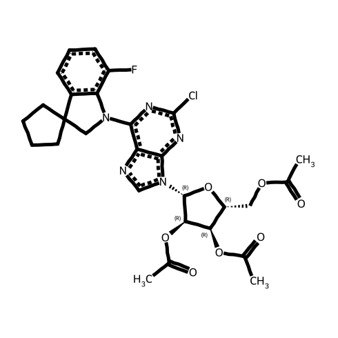 CC(=O)OC[C@H]1O[C@@H](n2cnc3c(N4CC5(CCCC5)c5cccc(F)c54)nc(Cl)nc32)[C@H](OC(C)=O)[C@@H]1OC(C)=O